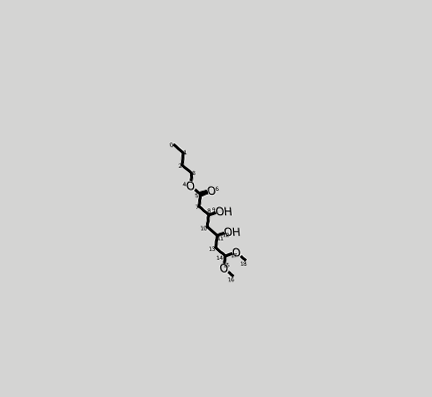 CCCCOC(=O)CC(O)CC(O)CC(OC)OC